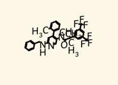 Cc1ccccc1-c1cc(NCc2ccccc2)ncc1N(C)C(=O)C(C)(C)c1cc(C(F)(F)F)cc(C(F)(F)F)c1